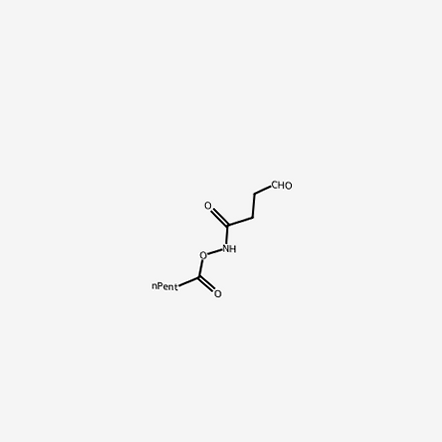 CCCCCC(=O)ONC(=O)CCC=O